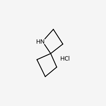 C1CC2(C1)CCN2.Cl